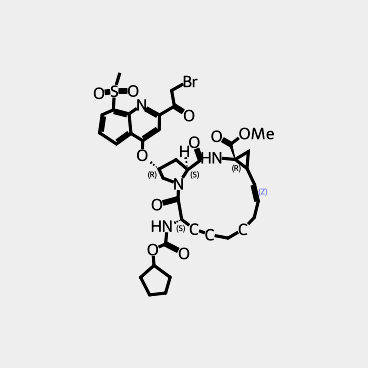 COC(=O)[C@@]12CC1/C=C\CCCCC[C@H](NC(=O)OC1CCCC1)C(=O)N1C[C@H](Oc3cc(C(=O)CBr)nc4c(S(C)(=O)=O)cccc34)C[C@H]1C(=O)N2